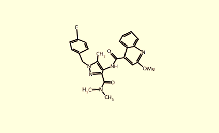 COc1cc(C(=O)Nc2c(C(=O)N(C)C)nn(Cc3ccc(F)cc3)c2C)c2ccccc2n1